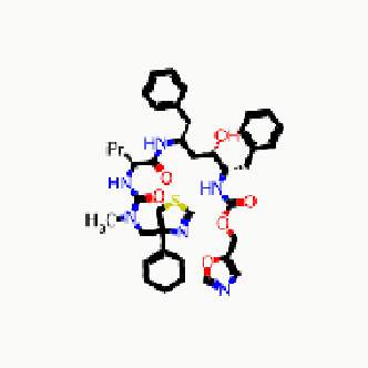 CC(C)[C@H](NC(=O)N(C)CC1(C2=CCCCC2)CSC=N1)C(=O)N[C@@H](Cc1ccccc1)C[C@H](O)[C@H](Cc1ccccc1)NC(=O)OCc1cnco1